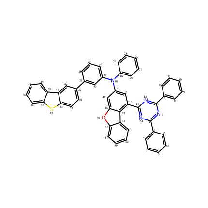 c1ccc(-c2nc(-c3ccccc3)nc(-c3cc(N(c4ccccc4)c4cccc(-c5ccc6sc7ccccc7c6c5)c4)cc4oc5ccccc5c34)n2)cc1